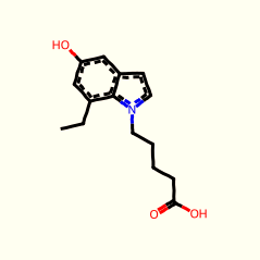 CCc1cc(O)cc2ccn(CCCCC(=O)O)c12